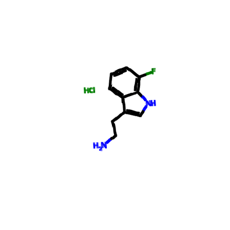 Cl.NCCc1c[nH]c2c(F)cccc12